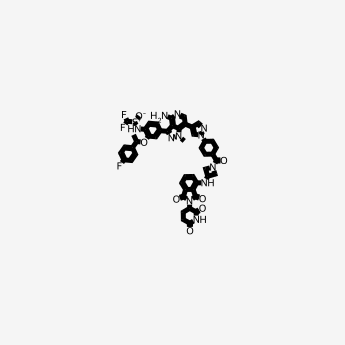 CC(Oc1cc(-c2nn(C)c3c(-c4cnn(C5CCC(C(=O)N6CC(Nc7cccc8c7C(=O)N(C7CCC(=O)NC7=O)C8=O)C6)CC5)c4)cnc(N)c23)ccc1N[S+]([O-])C(F)F)c1ccc(F)cc1